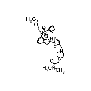 CCOCCN(c1cccc2cc(-c3ncc(CN4CCN(CC(=O)N(C)C)CC4)s3)[nH]c12)S(=O)(=O)c1cccs1